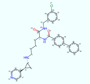 O=C(NC(CCCCN[C@@H]1C[C@H]1c1ccncc1)C(=O)NCc1cccc(Cl)c1)c1ccc(-c2ccccc2)cc1